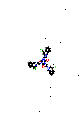 O=c1n(CCN(CCCl)Cc2ccccc2)c(=O)n(CCN(CCCl)Cc2ccccc2)c(=O)n1CCN(CCCl)Cc1ccccc1